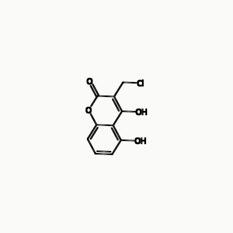 O=c1oc2cccc(O)c2c(O)c1CCl